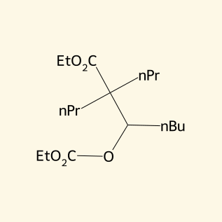 CCCCC(OC(=O)OCC)C(CCC)(CCC)C(=O)OCC